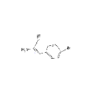 C#C/C(N)=C\c1ccc(Br)cc1